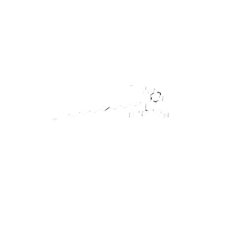 CCCCCCCCC=CCCCCCCC(C(N)=O)c1c(OCC)ncnc1OCC